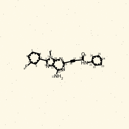 Cn1c(-c2cccc(F)c2)nc2c(N)nc(C#CC(=O)Nc3ccccc3)nc21